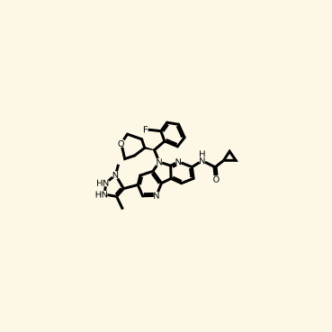 CC1=C(c2cnc3c4ccc(NC(=O)C5CC5)nc4n([C@H](c4ccccc4F)C4CCOCC4)c3c2)N(C)NN1